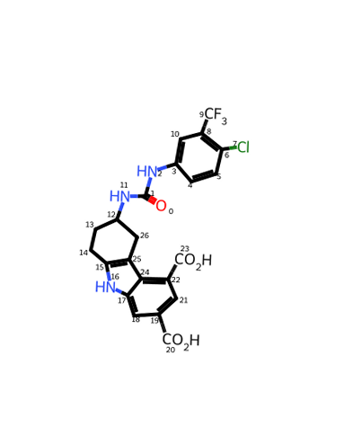 O=C(Nc1ccc(Cl)c(C(F)(F)F)c1)NC1CCc2[nH]c3cc(C(=O)O)cc(C(=O)O)c3c2C1